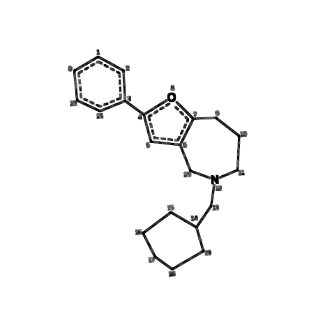 c1ccc(-c2cc3c(o2)CCCN(CC2CCCCC2)C3)cc1